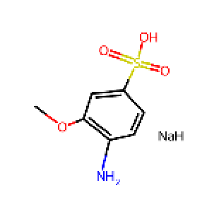 COc1cc(S(=O)(=O)O)ccc1N.[NaH]